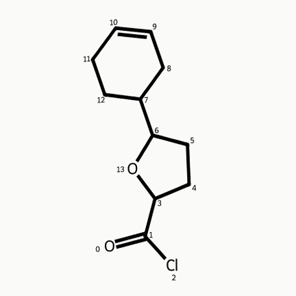 O=C(Cl)C1CCC(C2CC=CCC2)O1